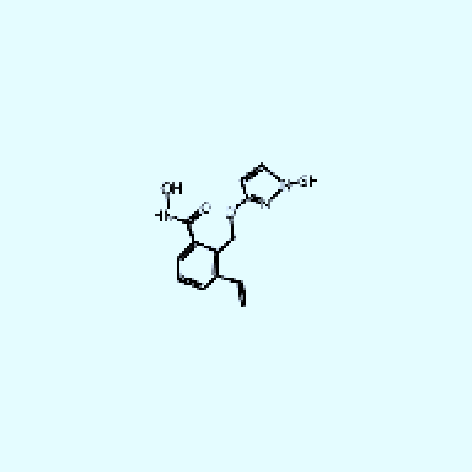 C=Cc1cccc(C(=O)NO)c1COc1ccn(S)n1